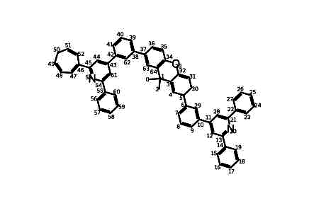 CC1(C)C2=CC(c3cccc(-c4cc(-c5ccccc5)nc(-c5ccccc5)c4)c3)CC=C2Oc2ccc(-c3cccc(-c4cc(C5=CC=CCC=C5)nc(-c5ccccc5)c4)c3)cc21